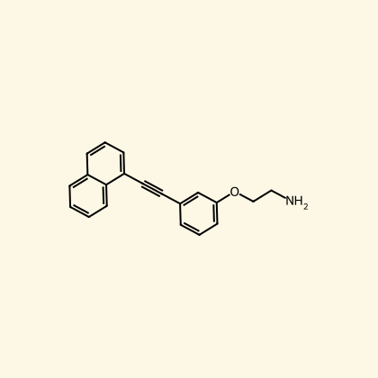 NCCOc1cccc(C#Cc2cccc3ccccc23)c1